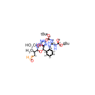 CC(C[PH2]=O)C(OC(c1nnn[nH]1)c1ccccc1NC(=NC(=O)OC(C)(C)C)NC(=O)OC(C)(C)C)N(O)C(=O)O